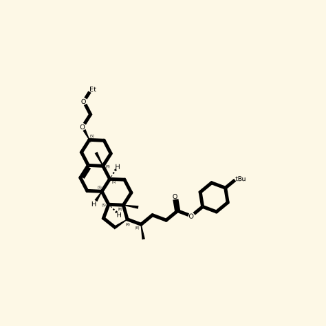 CCOCO[C@H]1CC[C@@]2(C)C(=CC[C@H]3[C@@H]4CC[C@H]([C@H](C)CCC(=O)OC5CCC(C(C)(C)C)CC5)[C@@]4(C)CC[C@@H]32)C1